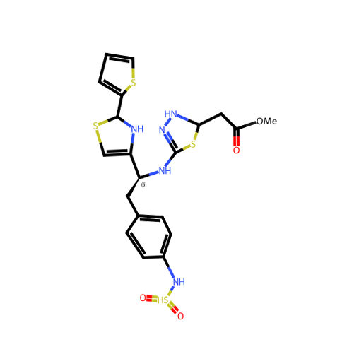 COC(=O)CC1NN=C(N[C@@H](Cc2ccc(N[SH](=O)=O)cc2)C2=CSC(c3cccs3)N2)S1